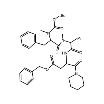 CC(C)C(C(=O)NC(CC(=O)OCc1ccccc1)C(=O)N1CCCCC1)N(C)C(=O)C(Cc1ccccc1)N(C)C(=O)OC(C)(C)C